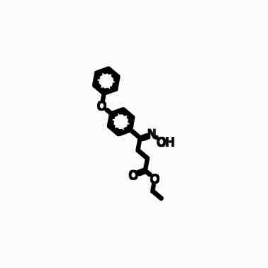 CCOC(=O)CCC(=NO)c1ccc(Oc2ccccc2)cc1